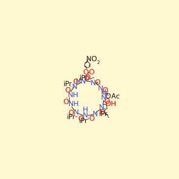 C/C=C/C[C@@H](C)[C@@H](O)[C@H]1C(=O)N[C@@H]([C@@H](C)OC(C)=O)C(=O)N(C)[C@@H](C)C(=O)N(C)[C@@H](C(C)OC(=O)Oc2ccc([N+](=O)[O-])cc2)C(=O)N[C@@H](CC(C)C)C(=O)N(C)[C@@H](CC(C)C)C(=O)N[C@@H](C)C(=O)N[C@@H](C)C(=O)N(C)[C@@H](CC(C)C)C(=O)N[C@@H](CC(C)C)C(=O)N(C)[C@@H](C(C)C)C(=O)N1C